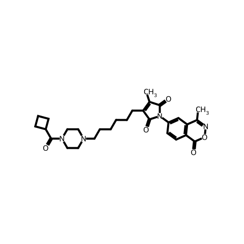 CC1=C(CCCCCCN2CCN(C(=O)C3CCC3)CC2)C(=O)N(c2ccc3c(=O)onc(C)c3c2)C1=O